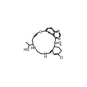 CON1c2ncnc3ccc(cc23)O/C=C\CC(C(C)O)NCCN/C=C2/C=C(Cl)CCC21